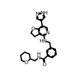 O=C(NCC1CCCCO1)c1cccc(CNc2ncc(-c3cn[nH]c3)c3c2CCO3)c1